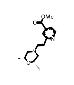 COC(=O)c1ccnc(C=CN2C[C@@H](C)O[C@@H](C)C2)c1